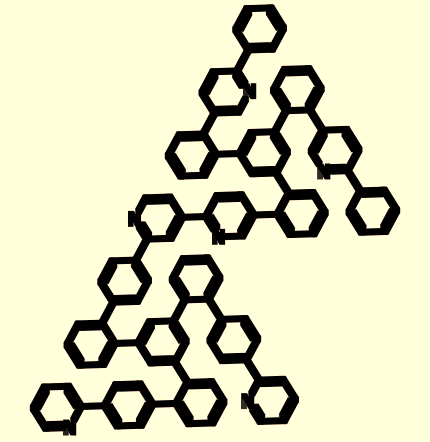 c1ccc(-c2ccc(-c3ccccc3-c3cc(-c4ccccc4-c4ccc(-c5ccccc5)nc4)cc(-c4ccccc4-c4ccc(-c5ccnc(-c6ccc(-c7ccccc7-c7cc(-c8ccccc8-c8ccc(-c9ccccn9)cc8)cc(-c8ccccc8-c8ccc(-c9ccccn9)cc8)c7)cc6)c5)nc4)c3)cn2)cc1